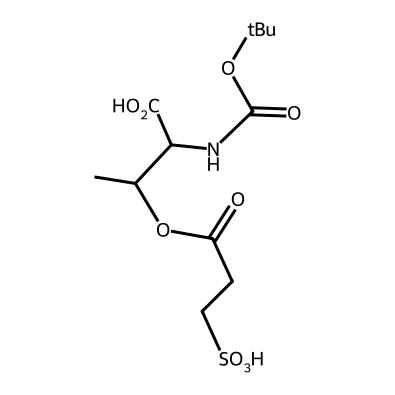 CC(OC(=O)CCS(=O)(=O)O)C(NC(=O)OC(C)(C)C)C(=O)O